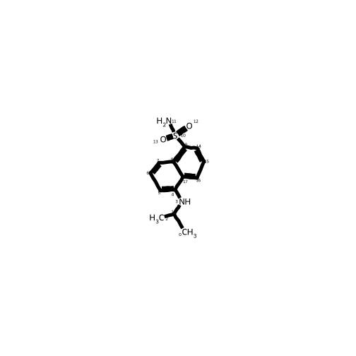 CC(C)Nc1cccc2c(S(N)(=O)=O)[c]ccc12